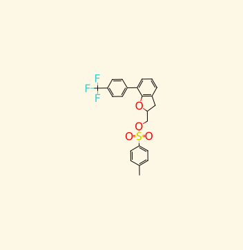 Cc1ccc(S(=O)(=O)OCC2Cc3cccc(-c4ccc(C(F)(F)F)cc4)c3O2)cc1